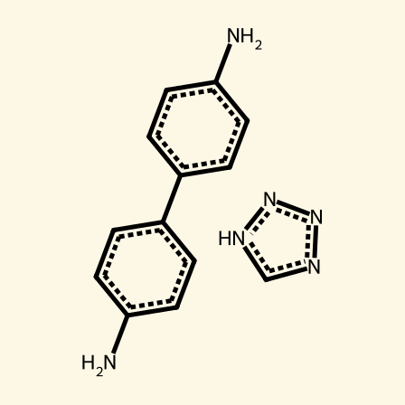 Nc1ccc(-c2ccc(N)cc2)cc1.c1nnn[nH]1